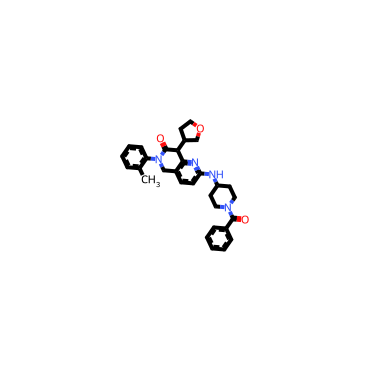 Cc1ccccc1N1Cc2ccc(NC3CCN(C(=O)c4ccccc4)CC3)nc2C(C2CCOC2)C1=O